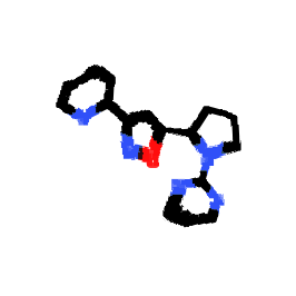 c1ccc(-c2cc(C3CCCN3c3ncccn3)on2)nc1